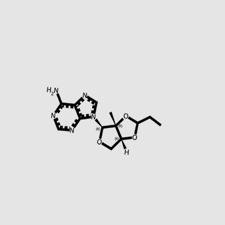 CCC1O[C@@H]2CO[C@@H](n3cnc4c(N)ncnc43)[C@]2(C)O1